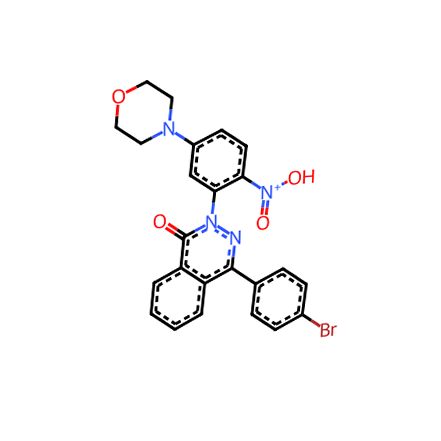 O=c1c2ccccc2c(-c2ccc(Br)cc2)nn1-c1cc(N2CCOCC2)ccc1[N+](=O)O